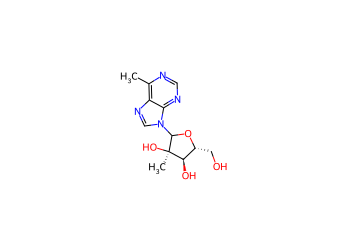 Cc1ncnc2c1ncn2C1O[C@H](CO)[C@@H](O)[C@@]1(C)O